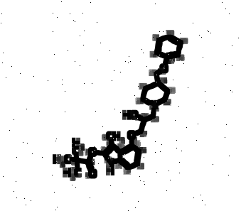 Cc1c(OC(=O)C(C)(C)C)[nH]c2cccc(OCC(O)CN3CCC(COc4ccccc4)CC3)c12